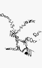 CCCCCCCCCCCCCCCCCCN(CCCCCCCCCCCCCCCCCC)C(=O)CNC(=O)CN1CCN(CC(=O)[O-])CCN(CC(=O)[O-])CCN(CC(=O)[O-])CC1.[Gd+3]